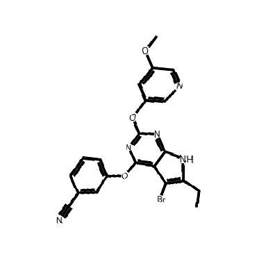 CCc1[nH]c2nc(Oc3cncc(OC)c3)nc(Oc3cccc(C#N)c3)c2c1Br